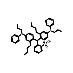 CCCCc1cc(N(CCC)c2ccccc2)ccc1C(c1ccc(N(CCC)c2ccccc2)cc1CCCC)c1ccccc1S(=O)(=O)O